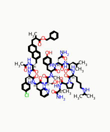 CC(=O)N[C@H](Cc1ccc2cc(CC(C)C(=O)OCc3ccccc3)ccc2c1)C(=O)N[C@H](Cc1ccc(Cl)cc1)C(=O)N[C@H](Cc1cccnc1)C(=O)N[C@@H](CO)C(=O)N(C)C(Cc1ccc(O)cc1)C(=O)N[C@H](CC(N)=O)C(=O)N[C@@H](CC(C)C)C(=O)N[C@@H](CCCCNC(C)C)C(=O)N1CCCC1C(=O)N[C@H](C)C(N)=O